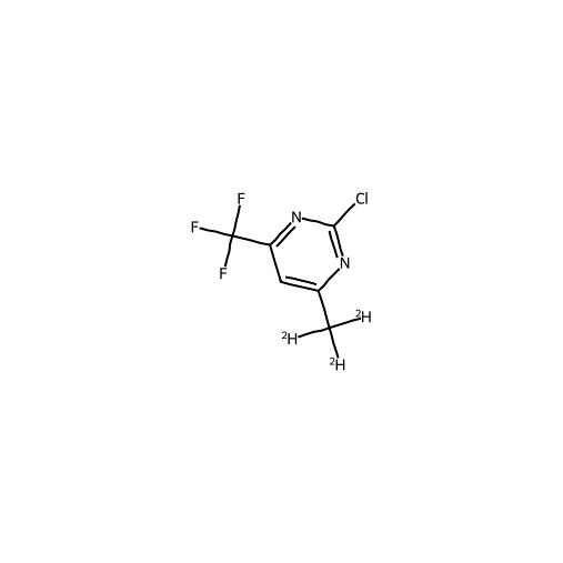 [2H]C([2H])([2H])c1cc(C(F)(F)F)nc(Cl)n1